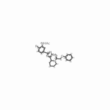 CC(=O)Nc1cc(-c2n[nH]c(C3CCCCN3C(=O)COc3ccccc3)n2)ccc1F